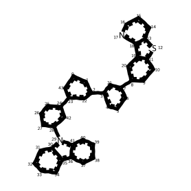 c1cc(-c2cccc(-c3ccc4sc5cccnc5c4c3)c2)cc(-c2cccc(-n3c4ccccc4c4ccccc43)c2)c1